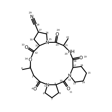 CC1CC(=O)N2CCCC2C(=O)N2CCCCC2C(=O)NC(C)C(=O)N2CC(C#N)CC2C(=O)O1